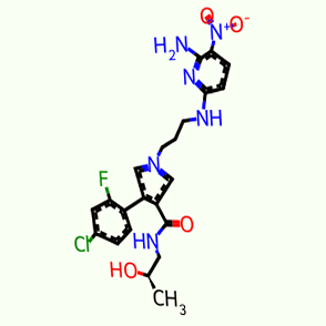 C[C@@H](O)CNC(=O)c1cn(CCCNc2ccc([N+](=O)[O-])c(N)n2)cc1-c1ccc(Cl)cc1F